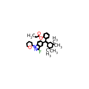 C=CC(=O)Oc1ccccc1C(=C1CC(C)(C)CC(C)(C)C1)c1ccc2c(c1)c(F)nn2C1CCCCO1